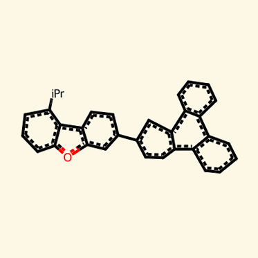 CC(C)c1cccc2oc3cc(-c4ccc5c6ccccc6c6ccccc6c5c4)ccc3c12